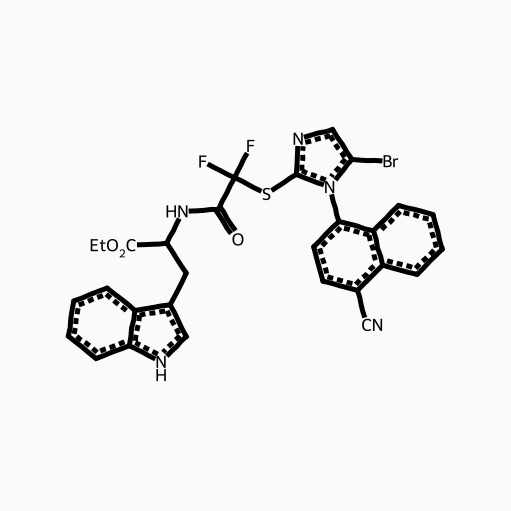 CCOC(=O)C(Cc1c[nH]c2ccccc12)NC(=O)C(F)(F)Sc1ncc(Br)n1-c1ccc(C#N)c2ccccc12